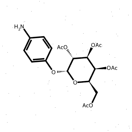 CC(=O)OC[C@H]1O[C@H](Oc2ccc(N)cc2)[C@H](OC(C)=O)[C@@H](OC(C)=O)[C@H]1OC(C)=O